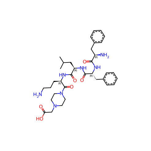 CC(C)C[C@@H](NC(=O)[C@@H](Cc1ccccc1)NC(=O)[C@H](N)Cc1ccccc1)C(=O)N[C@H](CCCN)C(=O)N1CCN(CC(=O)O)CC1